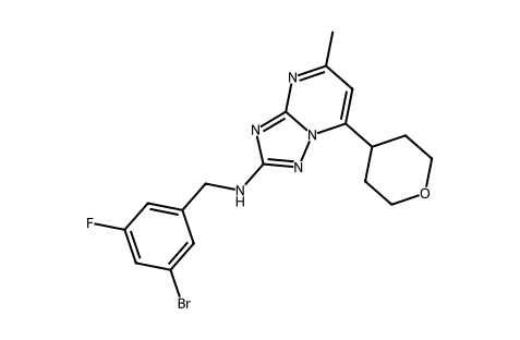 Cc1cc(C2CCOCC2)n2nc(NCc3cc(F)cc(Br)c3)nc2n1